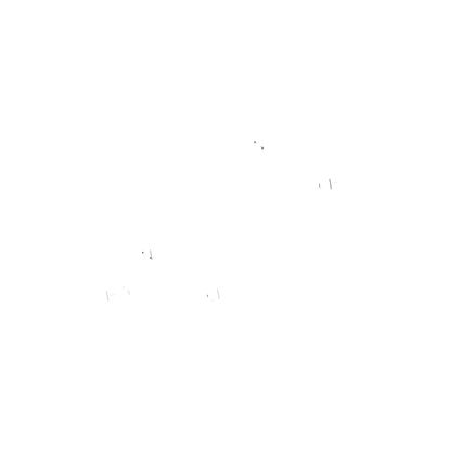 C/C(=N\O)c1ccnc(C)c1